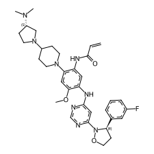 C=CC(=O)Nc1cc(Nc2cc(N3OCC[C@@H]3c3cccc(F)c3)ncn2)c(OC)cc1N1CCC(N2CC[C@H](N(C)C)C2)CC1